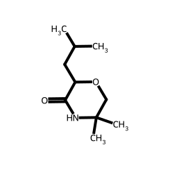 CC(C)CC1OCC(C)(C)NC1=O